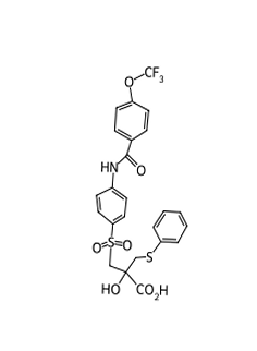 O=C(Nc1ccc(S(=O)(=O)CC(O)(CSc2ccccc2)C(=O)O)cc1)c1ccc(OC(F)(F)F)cc1